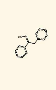 ON=C(Cc1ccccc1)c1ccccc1